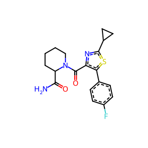 NC(=O)C1CCCCN1C(=O)c1nc(C2CC2)sc1-c1ccc(F)cc1